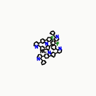 N#Cc1cc(-n2c3cc(-c4cccnc4-c4ccccc4)ccc3c3ccc(-c4cccnc4-c4ccccc4)cc32)c(-c2cc(F)cc(F)c2)cc1-n1c2cc(-c3cccnc3-c3ccccc3)ccc2c2ccc(-c3cccnc3-c3ccccc3)cc21